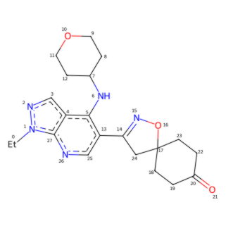 CCn1ncc2c(NC3CCOCC3)c(C3=NOC4(CCC(=O)CC4)C3)cnc21